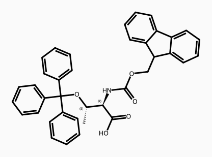 C[C@H](OC(c1ccccc1)(c1ccccc1)c1ccccc1)[C@@H](NC(=O)OCC1c2ccccc2-c2ccccc21)C(=O)O